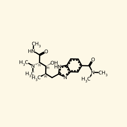 CNC(=O)[C@H]([C@H](O)[C@H](C)Cc1nc2cc(C(=O)N(C)C)ccc2[nH]1)N(C)C